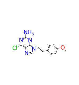 COc1ccc(CCn2cnc3c(Cl)nc(N)nc32)cc1